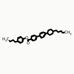 CCCCCC1CCC(c2ccc(-c3ccc(C(=O)Oc4ccc(CCCC)cc4)cc3)cc2)CC1